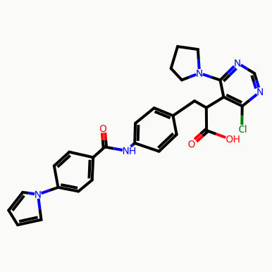 O=C(Nc1ccc(CC(C(=O)O)c2c(Cl)ncnc2N2CCCC2)cc1)c1ccc(-n2cccc2)cc1